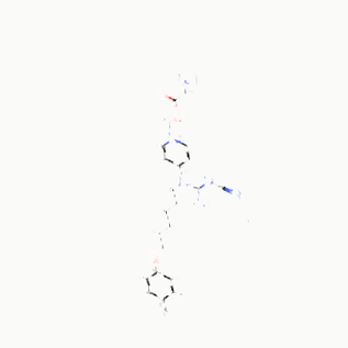 N#CN=C(N)N(CCCCCCOc1ccc(Cl)cc1)c1cc[n+](COC(=O)CN)cc1.[Cl-]